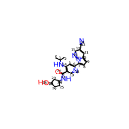 CC(C)Nc1cc(-c2ccc3cc(C#N)cnn23)ncc1C(=O)N[C@H]1CC[C@H](O)C1